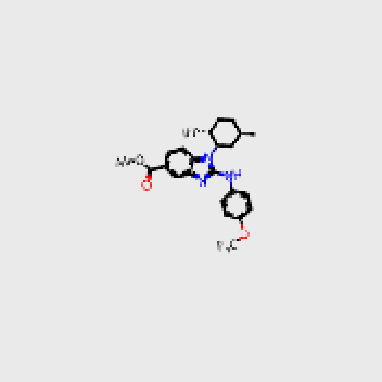 COC(=O)c1ccc2c(c1)nc(Nc1ccc(OC(F)(F)F)cc1)n2[C@@H]1C[C@H](C)CC[C@H]1C(C)C